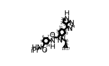 CC(C)NC(=O)c1cccc(NC(=O)c2nn(CC3CC3)c3cc(-c4ncnc5[nH]ccc45)ccc23)c1